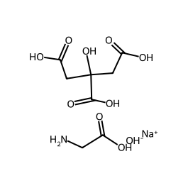 NCC(=O)O.O=C(O)CC(O)(CC(=O)O)C(=O)O.[Na+].[OH-]